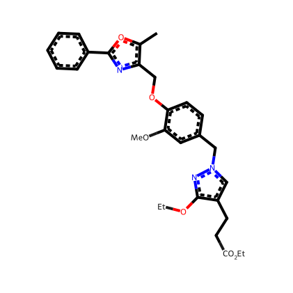 CCOC(=O)CCc1cn(Cc2ccc(OCc3nc(-c4ccccc4)oc3C)c(OC)c2)nc1OCC